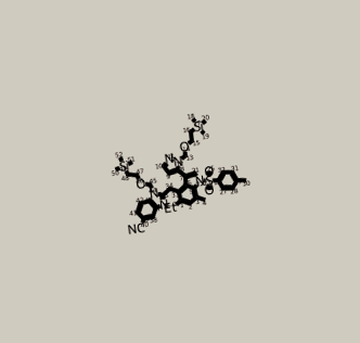 CCc1cc(C)c2c(c(-c3ccnn3COCC[Si](C)(C)C)cn2S(=O)(=O)c2ccc(C)cc2)c1Cc1nc2cc(C#N)ccc2n1COCC[Si](C)(C)C